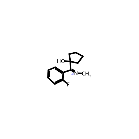 C/N=C(/c1ccccc1F)C1(O)CCCC1